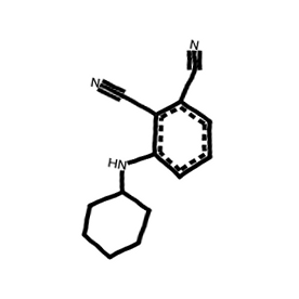 N#Cc1cccc(NC2CCCCC2)c1C#N